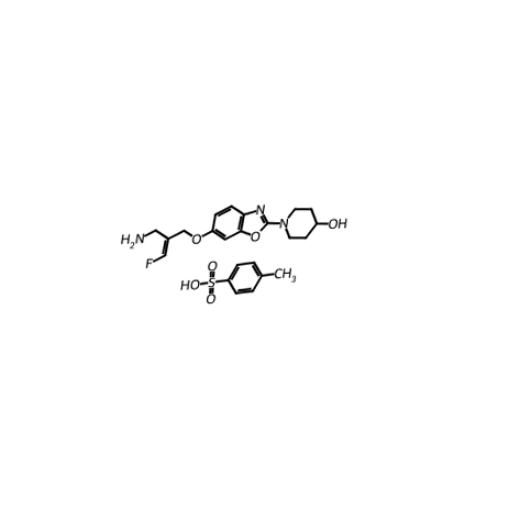 Cc1ccc(S(=O)(=O)O)cc1.NCC(=CF)COc1ccc2nc(N3CCC(O)CC3)oc2c1